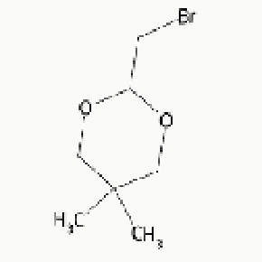 CC1(C)COC(CBr)OC1